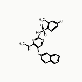 CNc1nc(NS(=O)(=O)c2ccc(Cl)cc2C)ncc1Sc1ccc2ccccc2c1